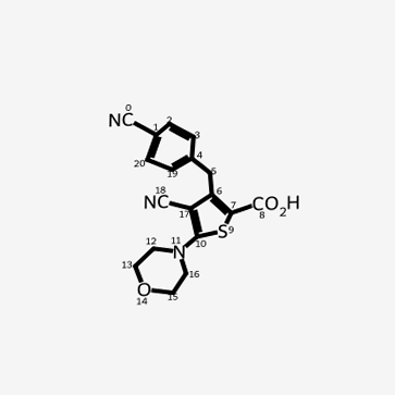 N#Cc1ccc(Cc2c(C(=O)O)sc(N3CCOCC3)c2C#N)cc1